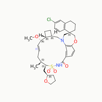 CO[C@H]1/C=C/C[C@H](C)[C@H](C[C@H]2CCCO2)S(=O)(=O)NC(=O)c2ccc3c(c2)N(C[C@@H]2CC[C@H]21)C[C@@]1(CCCc2cc(Cl)ccc21)CO3